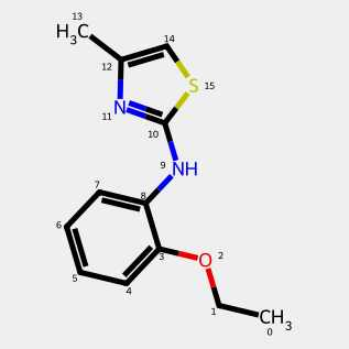 CCOc1ccccc1Nc1nc(C)cs1